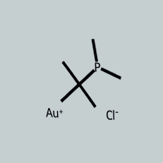 CP(C)C(C)(C)C.[Au+].[Cl-]